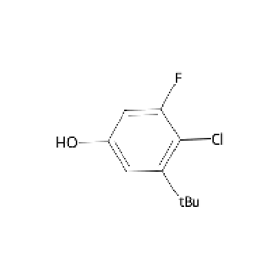 CC(C)(C)c1cc(O)cc(F)c1Cl